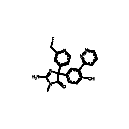 CN1C(=O)C(c2ccnc(CF)c2)(c2ccc(O)c(-c3cccnn3)c2)N=C1N